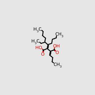 CCCC=C(C(=O)O)C(C(=O)O)=C(CCCC)C(CC)CCCC